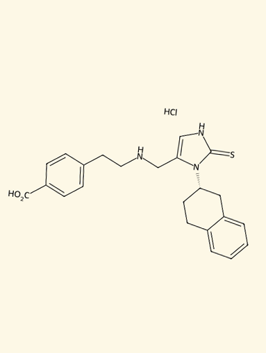 Cl.O=C(O)c1ccc(CCNCc2c[nH]c(=S)n2[C@H]2CCc3ccccc3C2)cc1